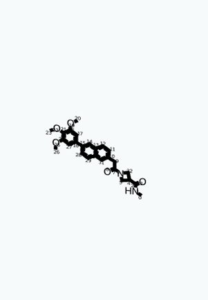 CNC(=O)C1CN(C(=O)Cc2ccc3cc(-c4cc(OC)c(OC)c(OC)c4)ccc3c2)C1